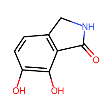 O=C1NCc2ccc(O)c(O)c21